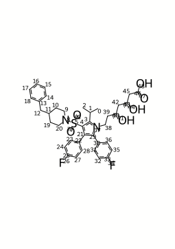 CC(C)c1c(S(=O)(=O)N2CCC(Cc3ccccc3)CC2)c(-c2ccc(F)cc2)c(-c2ccc(F)cc2)n1CC[C@@H](O)C[C@@H](O)CC(=O)O